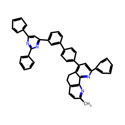 Cc1ccc2c(n1)-c1nc(-c3ccccc3)cc(-c3ccc(-c4cccc(-c5cc(-c6ccccc6)nc(-c6ccccc6)n5)c4)cc3)c1CC2